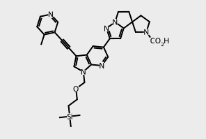 Cc1ccncc1C#Cc1cn(COCC[Si](C)(C)C)c2ncc(-c3cc4n(n3)CCC43CCN(C(=O)O)C3)cc12